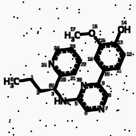 CCC[C@H](Nc1cncc(-c2ccc(O)c(OC)c2)n1)c1ccccn1